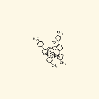 Cc1ccc(-c2ccc(-c3ccc(C)cc3)c3c2C=C(CC2CC2)[CH]3[Zr]([CH3])([CH3])(=[SiH2])[CH]2C(CC3CC3)=Cc3c(-c4ccc(C)cc4)ccc(-c4ccc(C)cc4)c32)cc1